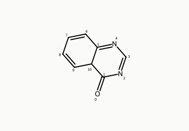 O=C1N=CN=C2C=CC=CC12